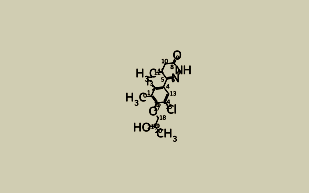 Cc1c(F)c(C2=NNC(=O)CC2C)cc(Cl)c1OCC(C)O